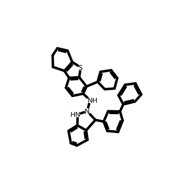 C1=CCCC(c2c(NN3Nc4ccccc4C3c3cccc(-c4ccccc4)c3)ccc3c4c(sc23)C=CCC4)=C1